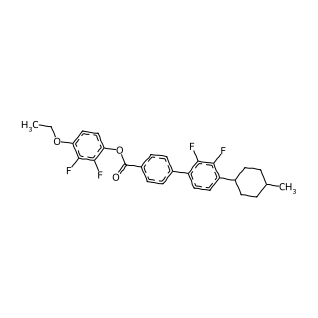 CCOc1ccc(OC(=O)c2ccc(-c3ccc(C4CCC(C)CC4)c(F)c3F)cc2)c(F)c1F